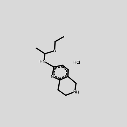 CCOC(C)Nc1ccc2c(n1)CCNC2.Cl